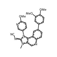 COc1ccc(-n2c(=NC#N)n(C)c3cnc4ccc(-c5ccc(OC)c(OC)c5)cc4c32)cn1